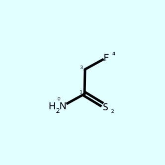 NC(=S)CF